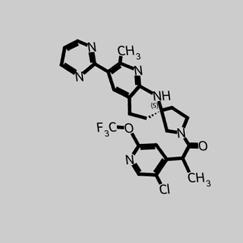 Cc1nc2c(cc1-c1ncccn1)CC[C@@]1(CCN(C(=O)C(C)c3cc(OC(F)(F)F)ncc3Cl)C1)N2